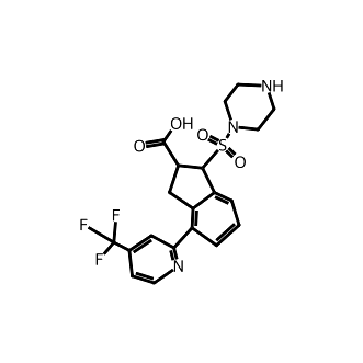 O=C(O)C1Cc2c(-c3cc(C(F)(F)F)ccn3)cccc2C1S(=O)(=O)N1CCNCC1